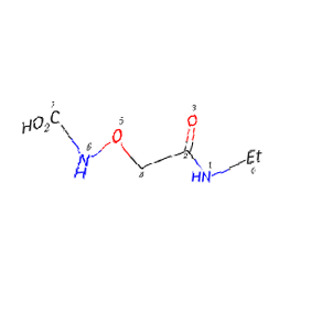 CCNC(=O)CONC(=O)O